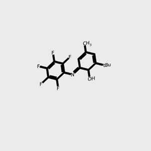 CC1=CC(=Nc2c(F)c(F)c(F)c(F)c2F)C(O)C(C(C)(C)C)=C1